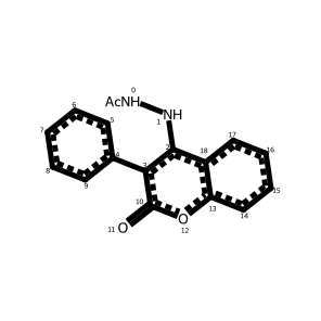 CC(=O)NNc1c(-c2ccccc2)c(=O)oc2ccccc12